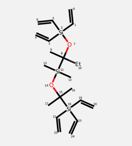 C=C[Si](C=C)(C=C)OC(C)(CC)[Si](C)(C)OC(C)(C)[Si](C=C)(C=C)C=C